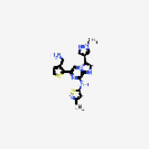 Cc1cc(Nc2nc(-c3sccc3CN)cn3c(-c4cnn(C)c4)cnc23)sn1